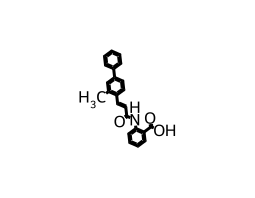 Cc1cc(-c2ccccc2)ccc1/C=C/C(=O)Nc1ccccc1C(=O)O